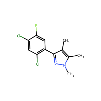 Cc1c(-c2cc(F)c(Cl)cc2Cl)nn(C)c1C